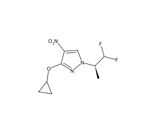 C[C@H](C(F)F)n1cc([N+](=O)[O-])c(OC2CC2)n1